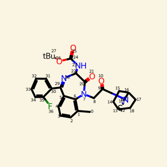 Cc1cccc2c1N(CC(=O)N1CC3CCC(CC3)C1)C(=O)C(NC(=O)OC(C)(C)C)N=C2c1ccccc1F